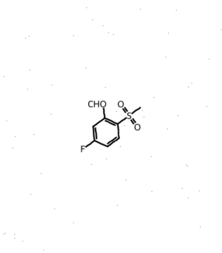 CS(=O)(=O)c1ccc(F)cc1C=O